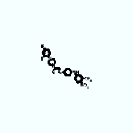 O=C(CO[C@H]1CC[C@H](Nc2ccc([N+](=O)[O-])c(C(F)(F)F)c2)CC1)N1CCN(c2ccc(F)cc2F)CC1